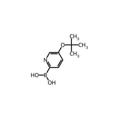 CC(C)(C)Oc1ccc(B(O)O)nc1